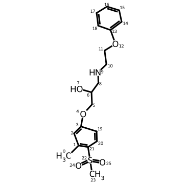 Cc1cc(OCC(O)CNCCOc2ccccc2)ccc1S(C)(=O)=O